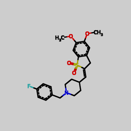 COc1cc2c(cc1OC)S(=O)(=O)C(=CC1CCN(Cc3ccc(F)cc3)CC1)C2